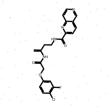 C=C(CCNC(=O)c1ccc2cnccc2n1)NC(=O)COc1ccc(Cl)c(F)c1